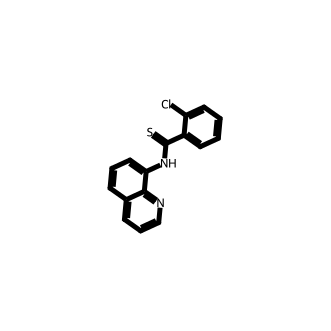 S=C(Nc1cccc2cccnc12)c1ccccc1Cl